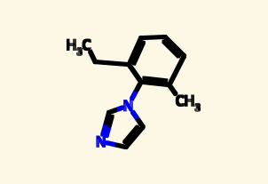 CCc1cccc(C)c1-n1ccnc1